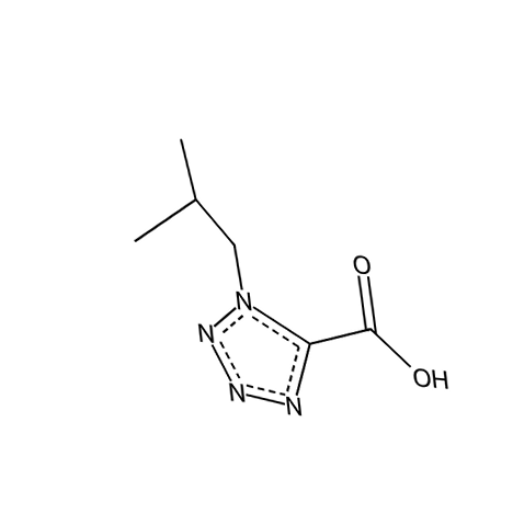 CC(C)Cn1nnnc1C(=O)O